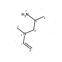 C=CN(C)CC(C)N